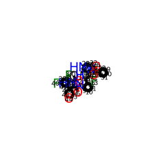 COC(=O)N[C@H](C(=O)Nc1cccc(F)c1CC[C@H]1CNC[C@@H](C)N1S(=O)(=O)c1ccccc1)C1(c2cc(F)cc(F)c2)CCOCC1